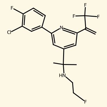 C=C(c1cc(C(C)(C)NCCF)cc(-c2ccc(F)c(Cl)c2)n1)C(F)(F)F